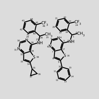 CC(Nc1ncnc2cc(-c3ccccc3)sc12)c1ccccc1C(F)(F)F.CC(Nc1ncnc2cc(C3CC3)sc12)c1ccccc1C(F)(F)F